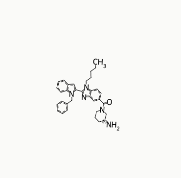 CCCCCn1c(-c2cc3ccccc3n2Cc2ccccc2)nc2cc(C(=O)N3CCC[C@@H](N)C3)ccc21